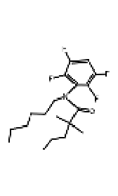 CCCCCCN(C(=O)C(C)(C)CCC)c1c(F)c(F)cc(F)c1F